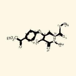 CCOC(=O)C(=O)c1ccc(OC(CNC(=O)OC(C)(C)C)C(N)C(=O)OC(C)(C)C)cc1